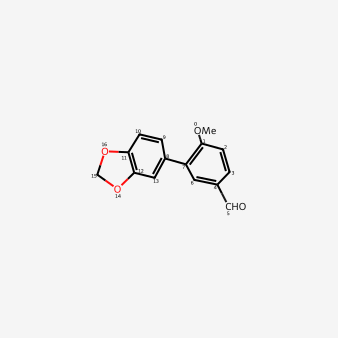 COc1ccc(C=O)cc1-c1ccc2c(c1)OCO2